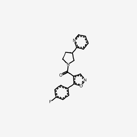 O=C(c1cnoc1-c1ccc(F)cc1)N1CCC(c2ccccn2)C1